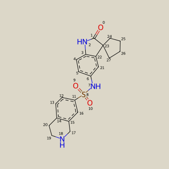 O=C1Nc2ccc(NS(=O)(=O)c3ccc4c(c3)CNCC4)cc2C12CCCC2